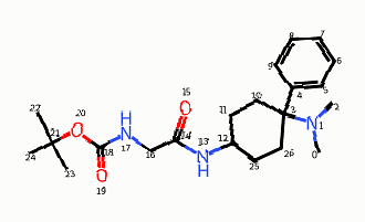 CN(C)C1(c2ccccc2)CCC(NC(=O)CNC(=O)OC(C)(C)C)CC1